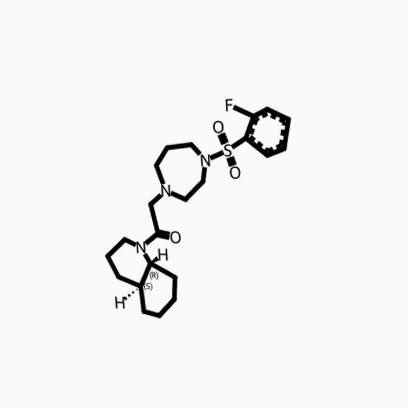 O=C(CN1CCCN(S(=O)(=O)c2ccccc2F)CC1)N1CCC[C@@H]2CCCC[C@H]21